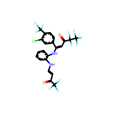 O=C(C=CNc1ccccc1NC(=CC(=O)C(F)(F)C(F)(F)F)c1ccc(C(F)(F)F)c(Cl)c1)C(F)(F)F